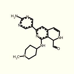 CN1CCC(Nc2nc(-c3cnc(N)nc3)cc3c2C(C=O)NC=C3)CC1